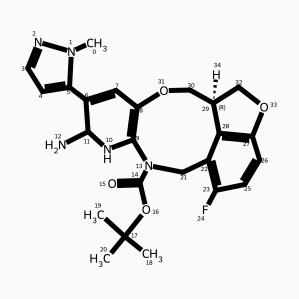 Cn1nccc1C1=CC2=C(NC1N)N(C(=O)OC(C)(C)C)Cc1c(F)ccc3c1[C@@H](CO2)CO3